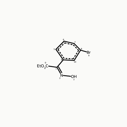 CCOC(=O)/C(=N/O)c1cccc(Br)c1